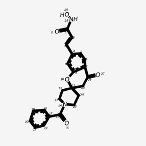 O=C(C=Cc1ccc2c(c1)OC1(CCN(C(=O)c3ccccc3)CC1)CC2=O)NO